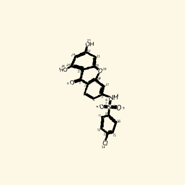 O=c1c2ccc(NS(=O)(=O)c3ccc(Cl)cc3)cc2oc2cc(O)cc(O)c12